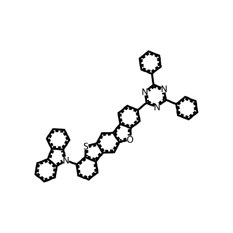 c1ccc(-c2nc(-c3ccccc3)nc(-c3ccc4c(c3)oc3cc5c(cc34)sc3c(-n4c6ccccc6c6ccccc64)cccc35)n2)cc1